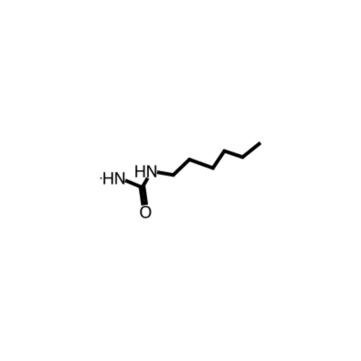 CCCCCCNC([NH])=O